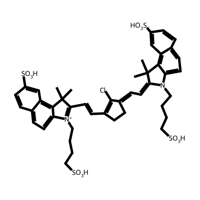 CC1(C)C(=CC=C2CCC(C=CC3=[N+](CCCCS(=O)(=O)O)c4ccc5ccc(S(=O)(=O)O)cc5c4C3(C)C)=C2Cl)N(CCCCS(=O)(=O)O)c2ccc3ccc(S(=O)(=O)O)cc3c21